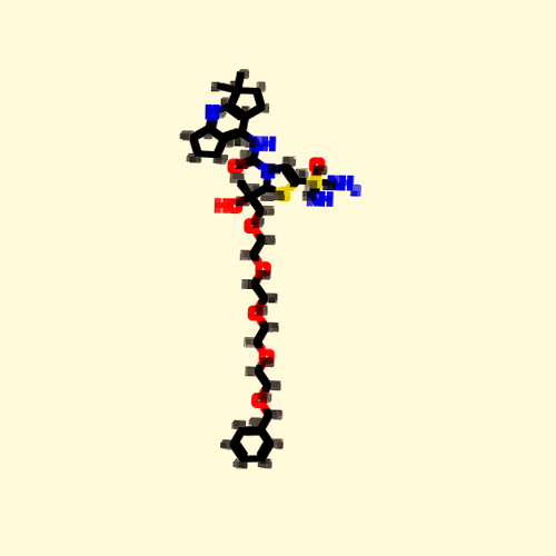 CC1(C)CCc2c1nc1c(c2NC(=O)N2C=C(S(=N)(N)=O)SC2[C@@](C)(O)COCCOCCOCCOCCOCc2ccccc2)CCC1